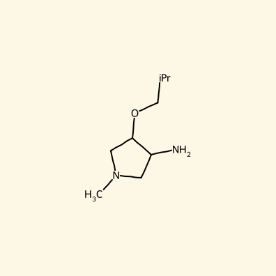 CC(C)COC1CN(C)CC1N